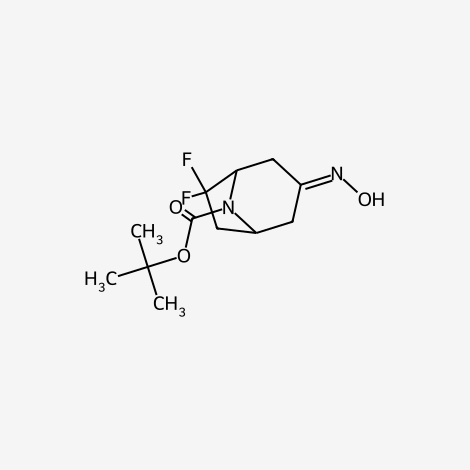 CC(C)(C)OC(=O)N1C2CC(=NO)CC1C(F)(F)C2